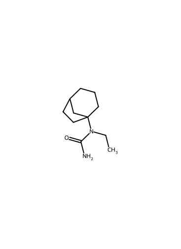 CCN(C(N)=O)C12CCCC(CC1)C2